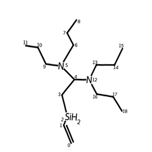 C=C[SiH2]CC(N(CCC)CCC)N(CCC)CCC